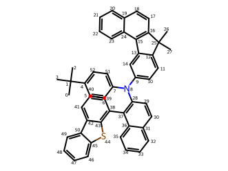 CC(C)(C)c1ccc(N(c2ccc3c(c2)-c2c(ccc4ccccc24)C3(C)C)c2ccc3ccccc3c2-c2cccc3c2sc2ccccc23)cc1